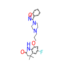 CC1(C)CC(=O)Nc2c(OCCCN3CCN(c4noc5ccccc45)CC3)cc(F)cc21